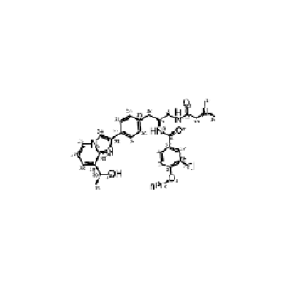 CCCOc1ccc(C(=O)N[C@H](CNC(=O)CN(C)C)Cc2ccc(-c3cn4cccc([C@H](C)O)c4n3)cc2)cc1Cl